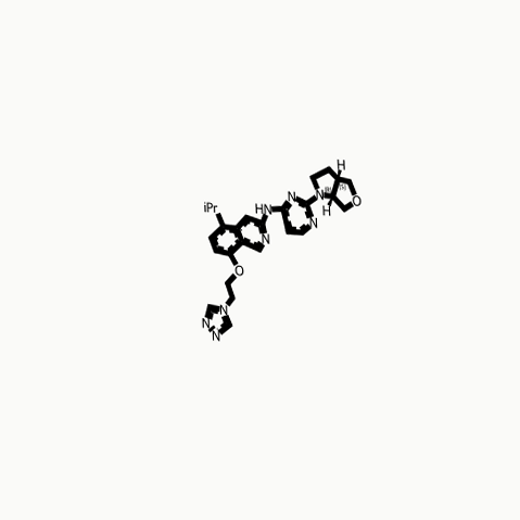 CC(C)c1ccc(OCCn2cnnc2)c2cnc(Nc3ccnc(N4CC[C@@H]5COC[C@@H]54)n3)cc12